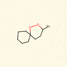 [2H]C1CCC2(CCCCC2)OO1